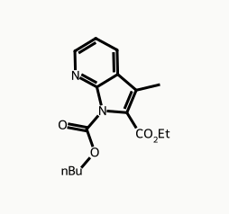 CCCCOC(=O)n1c(C(=O)OCC)c(C)c2cccnc21